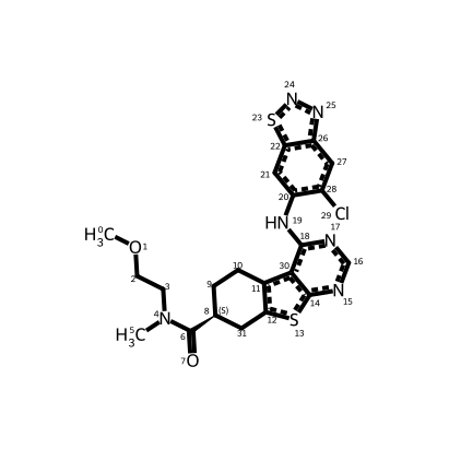 COCCN(C)C(=O)[C@H]1CCc2c(sc3ncnc(Nc4cc5snnc5cc4Cl)c23)C1